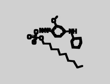 CCCCCCCCCCOS(=O)(=O)[O-].COc1cc(Nc2ccccc2)ccc1[N+]#N